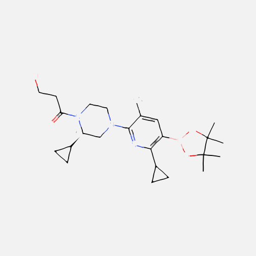 CC1(C)OB(c2cc(C#N)c(N3CCN(C(=O)CCO)[C@H](C4CC4)C3)nc2C2CC2)OC1(C)C